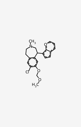 COCOc1cc2c(cc1Cl)CCN(C)CC2c1ccc2cccoc1-2